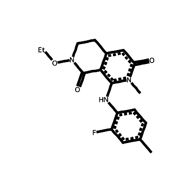 CCON1CCc2cc(=O)n(C)c(Nc3ccc(C)cc3F)c2C1=O